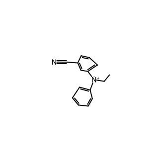 CC[N+](c1ccccc1)c1cccc(C#N)c1